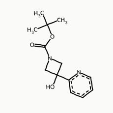 CC(C)(C)OC(=O)N1CC(O)(c2ccccn2)C1